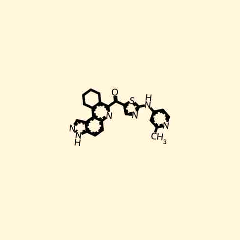 Cc1cc(Nc2ncc(C(=O)c3nc4ccc5[nH]ncc5c4c4c3CCCC4)s2)ccn1